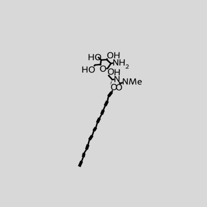 C#CC#CC#CC#CC#CC#CC#CC#CC#COC[C@H](COC1OC(CO)C(O)C(O)C1N)NC(=O)NC